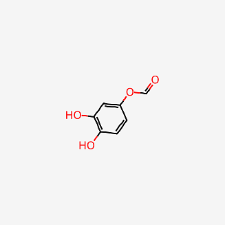 O=COc1ccc(O)c(O)c1